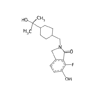 CC(C)(O)C1CCC(CN2Cc3ccc(O)c(F)c3C2=O)CC1